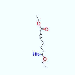 CCOC(=N)CCCCCCC(=O)OCC